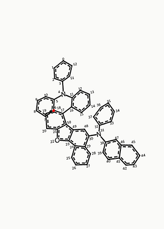 c1ccc(N(c2ccccc2)c2ccccc2-c2cccc3oc4c5ccccc5c(N(c5ccccc5)c5ccc6ccccc6c5)cc4c23)cc1